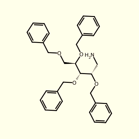 NC[C@H](OCc1ccccc1)[C@H](OCc1ccccc1)[C@@H](COCc1ccccc1)OCc1ccccc1